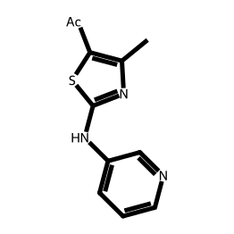 CC(=O)c1sc(Nc2cccnc2)nc1C